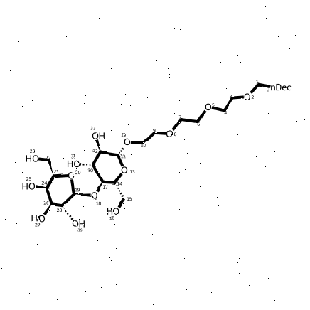 CCCCCCCCCCCOCCOCCOCCO[C@@H]1O[C@H](CO)[C@@H](O[C@@H]2O[C@H](CO)[C@H](O)[C@H](O)[C@H]2O)[C@H](O)[C@H]1O